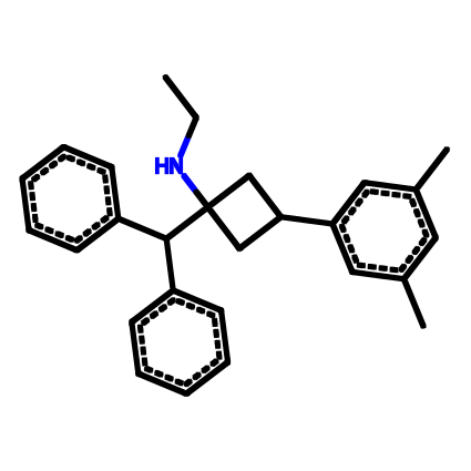 CCNC1(C(c2ccccc2)c2ccccc2)CC(c2cc(C)cc(C)c2)C1